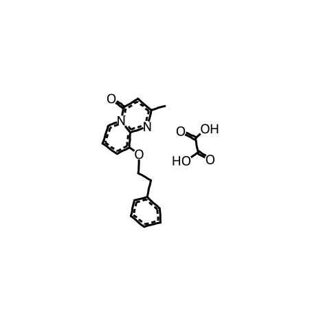 Cc1cc(=O)n2cccc(OCCc3ccccc3)c2n1.O=C(O)C(=O)O